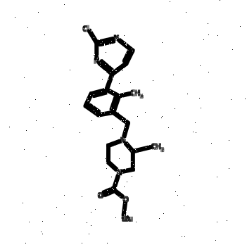 Cc1c(CN2CCN(C(=O)OC(C)(C)C)CC2C)cccc1-c1ccnc(Cl)n1